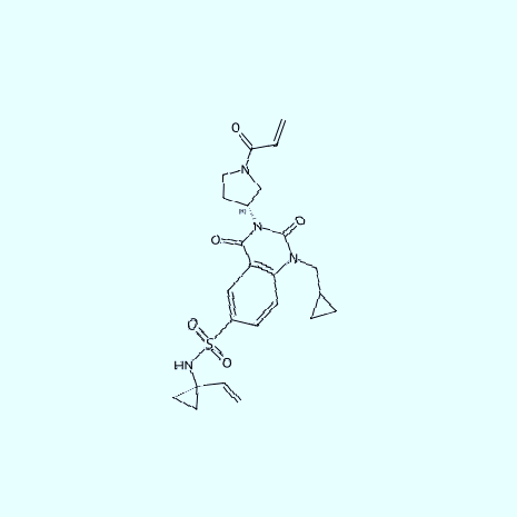 C=CC(=O)N1CC[C@@H](n2c(=O)c3cc(S(=O)(=O)NC4(C=C)CC4)ccc3n(CC3CC3)c2=O)C1